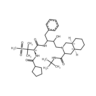 CC(C)(C)NC(=O)C1C[C@@H]2CCCC[C@@H]2CN1CC(O)C(Cc1ccccc1)NC(=O)[C@@H](NC(=O)C1CCCC1)C(C)(C)S(C)(=O)=O